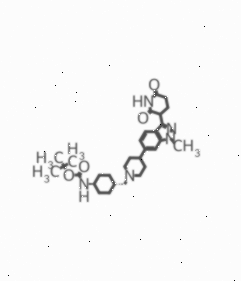 Cn1nc(C2CCC(=O)NC2=O)c2ccc(C3CCN(C[C@H]4CC[C@H](NC(=O)OC(C)(C)C)CC4)CC3)cc21